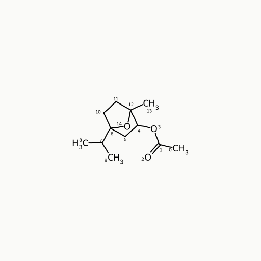 CC(=O)OC1CC2(C(C)C)CCC1(C)O2